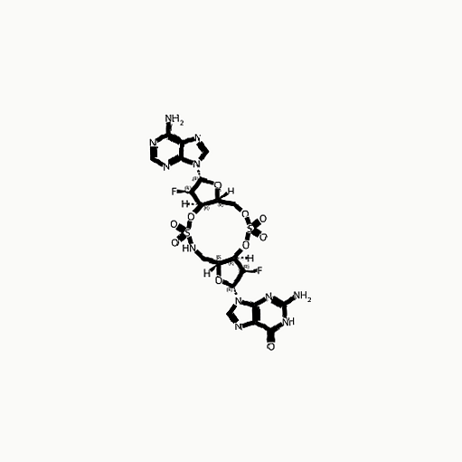 Nc1nc2c(ncn2[C@@H]2O[C@@H]3CNS(=O)(=O)O[C@H]4[C@@H](F)[C@H](n5cnc6c(N)ncnc65)O[C@@H]4COS(=O)(=O)O[C@H]3[C@H]2F)c(=O)[nH]1